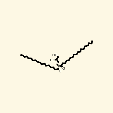 CCCCCCCCCCCCCCCCCC(=O)P(OCC(O)CO)C(=O)CCCCCCCCCCCCCCCCC